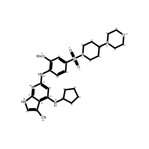 COc1cc(S(=O)(=O)N2CCC(N3CCOCC3)CC2)ccc1Nc1cc(NC2CCCC2)c2c(C#N)c[nH]c2n1